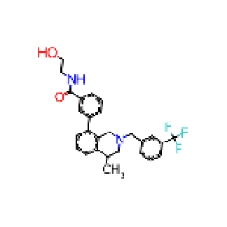 CC1CN(Cc2cccc(C(F)(F)F)c2)Cc2c(-c3cccc(C(=O)NCCO)c3)cccc21